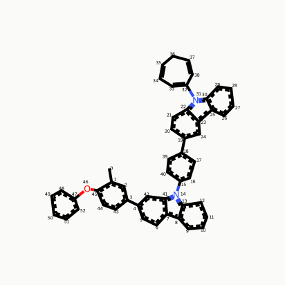 Cc1cc(-c2ccc3c4ccccc4n(-c4ccc(-c5ccc6c(c5)c5ccccc5n6C5=CC=CCC=C5)cc4)c3c2)ccc1Oc1ccccc1